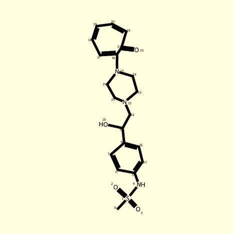 CS(=O)(=O)Nc1ccc(C(O)CN2CCN(c3cccccc3=O)CC2)cc1